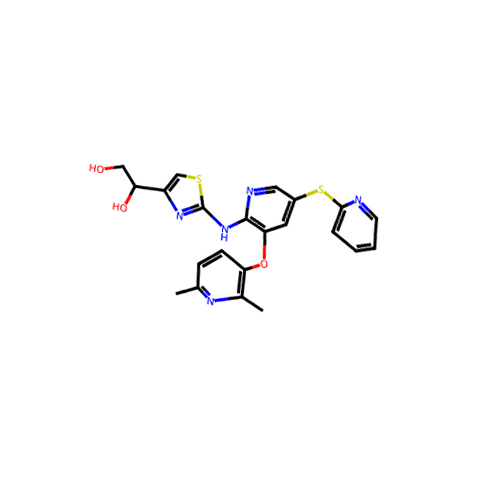 Cc1ccc(Oc2cc(Sc3ccccn3)cnc2Nc2nc(C(O)CO)cs2)c(C)n1